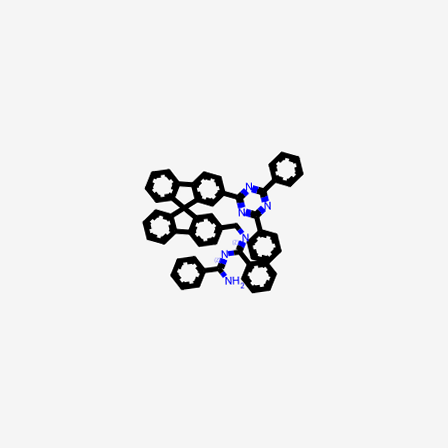 N/C(=N\C(=N/Cc1ccc2c(c1)C1(c3ccccc3-2)c2ccccc2-c2ccc(-c3nc(-c4ccccc4)nc(-c4ccccc4)n3)cc21)c1ccccc1)c1ccccc1